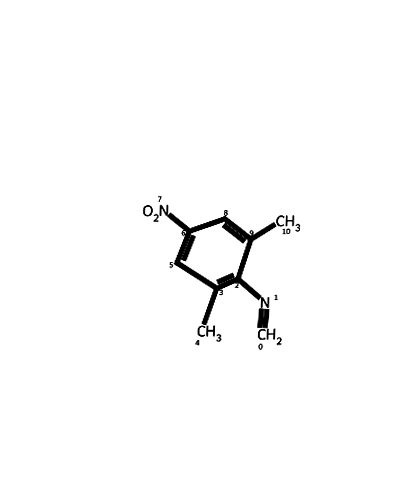 C=Nc1c(C)cc([N+](=O)[O-])cc1C